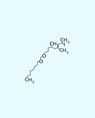 CCCCCCCCOCOCCCC(C)CC(C)CC(C)I